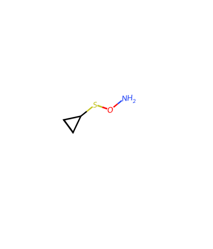 NOSC1CC1